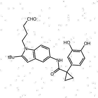 CC(C)(C)c1cc2cc(NC(=O)C3(c4ccc(O)c(O)c4)CC3)ccc2n1CCCC=O